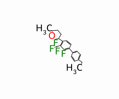 CCc1ccc(-c2ccc(C3CCC(C)OC3)c(C(F)(F)F)c2F)cc1